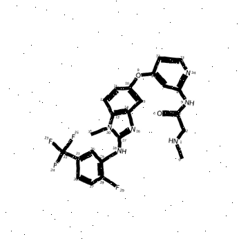 CNCC(=O)Nc1cc(Oc2ccc3c(c2)nc(Nc2cc(C(F)(F)F)ccc2F)n3C)ccn1